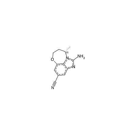 C[C@H]1CCOc2cc(C#N)cc3nc(N)n1c23